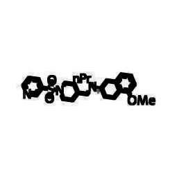 CCCN(CC1CCN(S(=O)(=O)c2cccnc2)CC1)[C@@H]1CCc2c(cccc2OC)C1